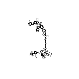 Cc1ncsc1-c1ccc(CNC(=O)[C@@H]2C[C@@H](O)CN2C(=O)[C@@H](NC(=O)CCCCCCCCCCNC(=O)CN2CCN(c3ccc(C(=O)Nc4n[nH]c5ccc(Cc6cc(F)cc(F)c6)cc45)c(NC4CCOCC4)c3)CC2)C(C)(C)C)cc1